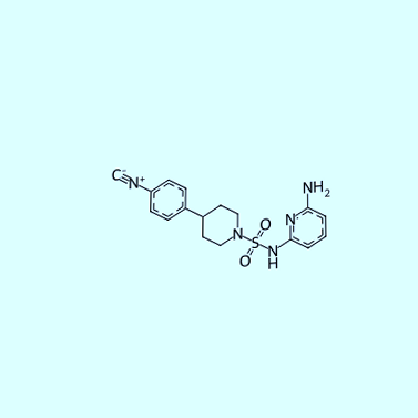 [C-]#[N+]c1ccc(C2CCN(S(=O)(=O)Nc3cccc(N)n3)CC2)cc1